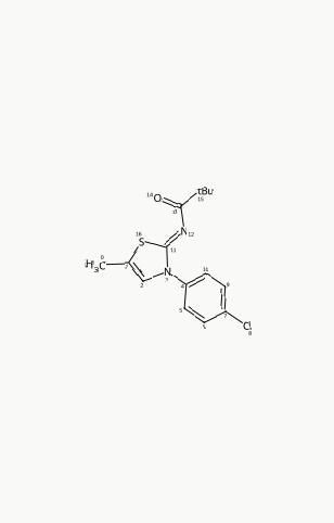 Cc1cn(-c2ccc(Cl)cc2)/c(=N/C(=O)C(C)(C)C)s1